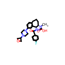 CN(C(=O)O)[C@H]1CCCc2ccc(N3CCN(C4COC4)CC3)cc2[C@@H]1NC(=O)c1ccc(F)cc1